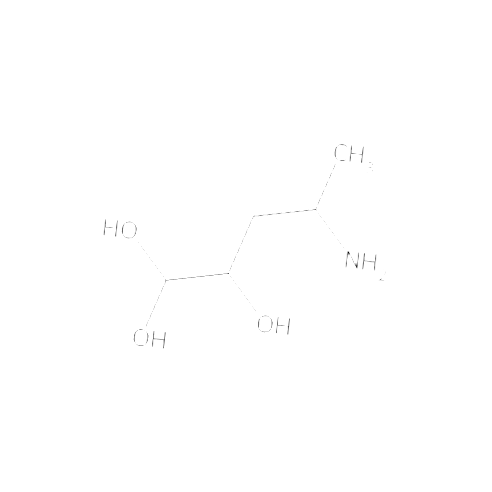 CC(N)CC(O)C(O)O